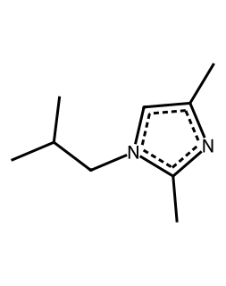 Cc1cn(CC(C)C)c(C)n1